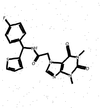 Cn1c(=O)c2c(ncn2CC(=O)NC(c2ccc(F)cc2)c2cccs2)n(C)c1=O